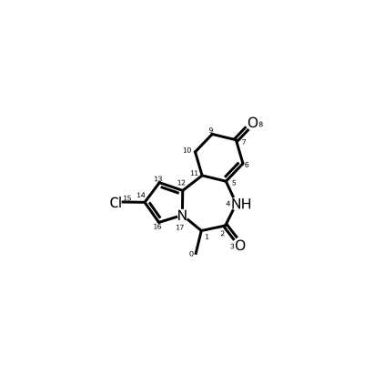 CC1C(=O)NC2=CC(=O)CCC2c2cc(Cl)cn21